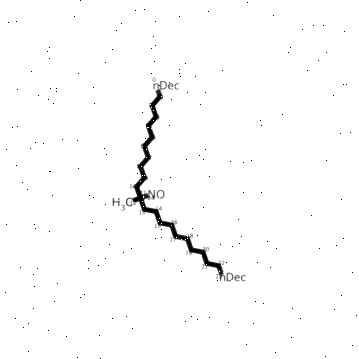 CCCCCCCCCCCCCCCCCCCCC(C)(CCCCCCCCCCCCCCCCCCCC)N=O